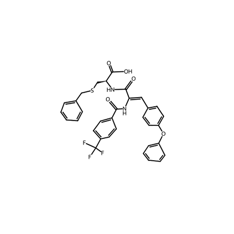 O=C(N[C@@H](CSCc1ccccc1)C(=O)O)C(=Cc1ccc(Oc2ccccc2)cc1)NC(=O)c1ccc(C(F)(F)F)cc1